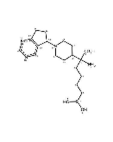 NC(CCCCB(O)O)(C(=O)O)C1CCN(C2CCc3ncncc32)CC1